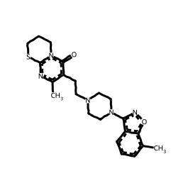 Cc1nc2n(c(=O)c1CCN1CCN(c3noc4c(C)cccc34)CC1)CCCS2